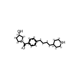 O=C(c1ccc(CCCCC2CCNCC2)cc1)N1CC[C@@H](O)C1